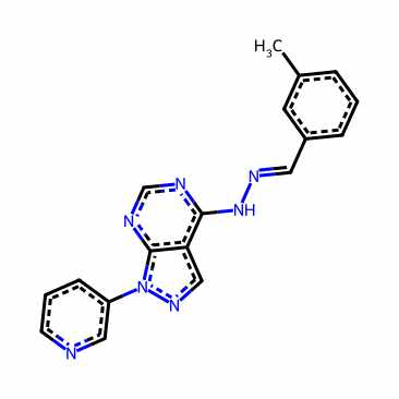 Cc1cccc(C=NNc2ncnc3c2cnn3-c2cccnc2)c1